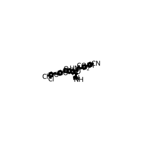 CC(c1cc[nH]n1)N1Cc2cc3c(cc2C[C@H]1C(=O)NC(Cc1ccc(-c2ccc(C#N)cc2)cc1)C(=O)O)OC[C@H](c1ccc(OCc2ccc(Cl)c(Cl)c2)cc1)O3